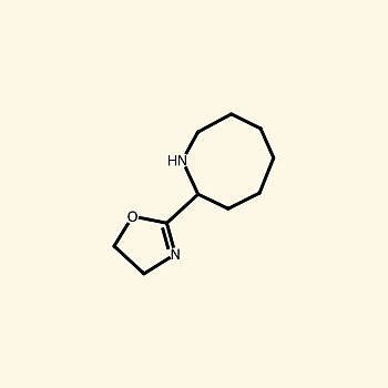 C1CCCC(C2=NCCO2)NCC1